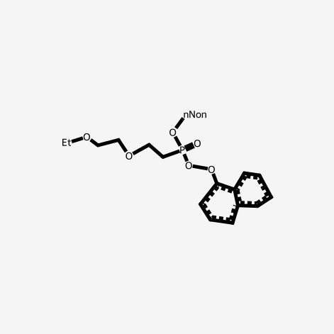 CCCCCCCCCOP(=O)(CCOCCOCC)OOc1cccc2ccccc12